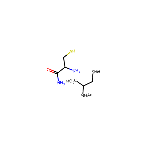 CSCC(NC(C)=O)C(=O)O.NC(=O)C(N)CS